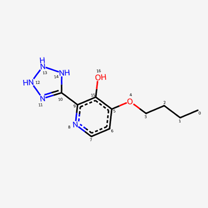 CCCCOc1ccnc(C2=NNNN2)c1O